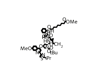 C=CC1CC1(NC(=O)[C@@H]1C[C@@H](Oc2cc(-c3csc(C(C)C)n3)nc3cc(OC)ccc23)CN1C(=O)OC(C)(C)C)C(=O)NS(=O)(=O)c1ccccc1NC(=O)CCCCCCCC(=O)OC